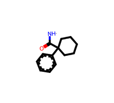 [NH]C(=O)C1(c2ccccc2)CCCCC1